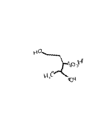 CC(O)C(CCO)S(=O)(=O)O